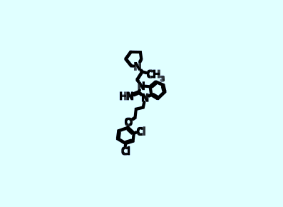 CC(Cn1c(=N)n(CCCOc2ccc(Cl)cc2Cl)c2ccccc21)N1CCCCC1